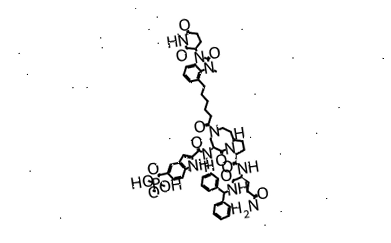 Cn1c(=O)n(C2CCC(=O)NC2=O)c2cccc(CCCCCC(=O)N3CC[C@H]4CC[C@@H](C(=O)N[C@@H](CCC(N)=O)C(=O)NC(c5ccccc5)c5ccccc5)N4C(=O)[C@@H](NC(=O)c4cc5cc(C(=O)P(=O)(O)O)ccc5[nH]4)C3)c21